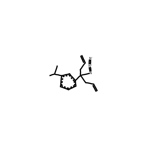 C=CCC(CC=C)(N=[N+]=[N-])c1cccc(C(C)C)c1